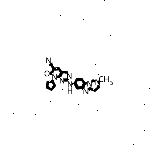 CN1CCc2nc3cc(Nc4ncc5cc(C#N)c(=O)n(C6CCCC6)c5n4)ccc3n2C1